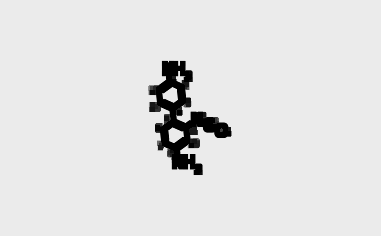 Nc1ccc(-c2ccc(N)cc2N=C=O)cc1